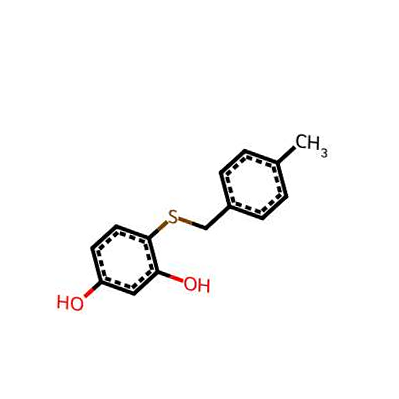 Cc1ccc(CSc2ccc(O)cc2O)cc1